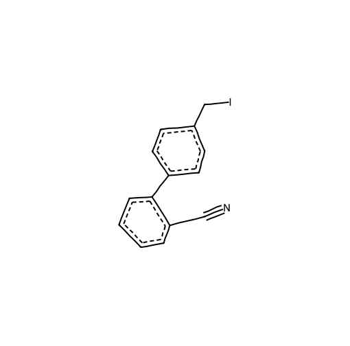 N#Cc1ccccc1-c1ccc(CI)cc1